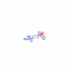 CNC(=N)N[C@H]1CC[C@H](CC(=O)N[C@H]2Cc3cccc(C)c3OB2O)CC1